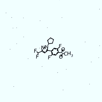 CS(=O)(=O)c1cc(F)c(-c2cc(C(F)F)nn2C2CCCC2)cc1F